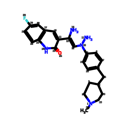 CN1CCC(Cc2ccc(N(N)/C=C(\N)c3cc4cc(F)ccc4[nH]c3=O)cc2)CC1